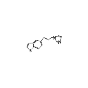 C(=Cc1ccc2sccc2c1)Cn1ccnc1